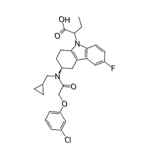 CCC(C(=O)O)n1c2c(c3cc(F)ccc31)C[C@@H](N(CC1CC1)C(=O)COc1cccc(Cl)c1)CC2